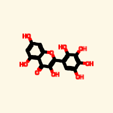 O=c1c(O)c(-c2cc(O)c(O)c(O)c2O)oc2cc(O)cc(O)c12